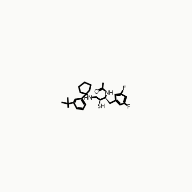 CC(=O)N[C@@H](Cc1cc(F)cc(F)c1)[C@@H](S)CNC1(c2cccc(C(C)(C)C)c2)CCCCC1